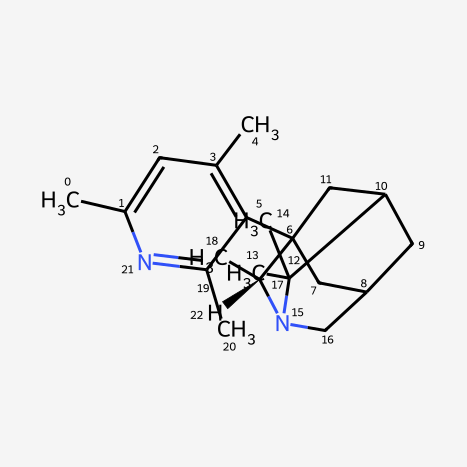 Cc1cc(C)c(C23CC4CC(C2)C(C)(C)N(C4)[C@@H]3C)c(C)n1